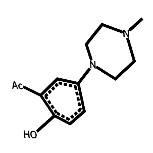 CC(=O)c1cc(N2CCN(C)CC2)ccc1O